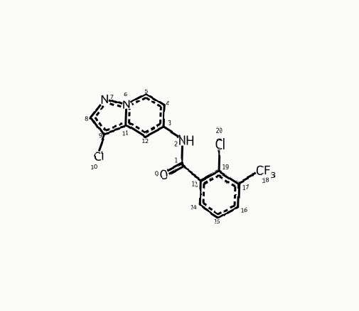 O=C(Nc1ccn2ncc(Cl)c2c1)c1cccc(C(F)(F)F)c1Cl